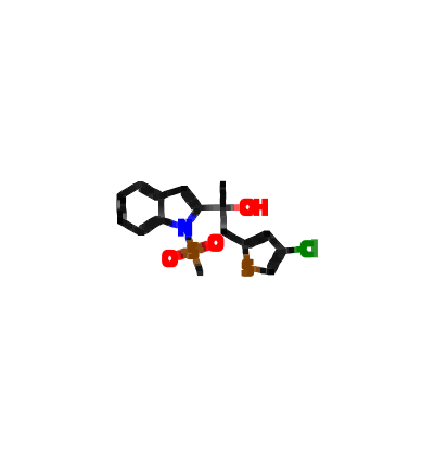 CC(O)(Cc1cc(Cl)cs1)c1cc2ccccc2n1S(C)(=O)=O